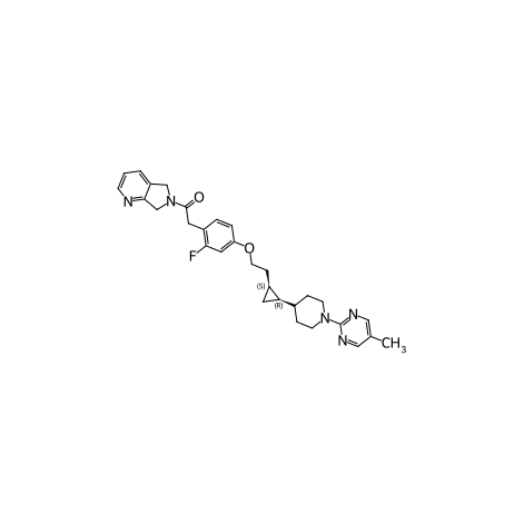 Cc1cnc(N2CCC([C@H]3C[C@H]3CCOc3ccc(CC(=O)N4Cc5cccnc5C4)c(F)c3)CC2)nc1